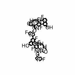 C#Cc1c(F)ccc2cc(O)cc(-c3nc4c5c(nc(OC[C@@]67CCC(c8cc9cc(O)cc(-c%10nc%11c%12c(nc(OC[C@@]%13%14CCCN%13C[C@H](F)C%14)nc%12c%10F)N%10CCOCC[C@@H]%10CCN%11C)c9c(C#C)c8F)N6C[C@H](F)C7)nc5c3F)N3CCOC[C@@H]3CCN4C)c12